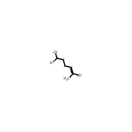 CC/C(C)=C/CCC(Br)CC